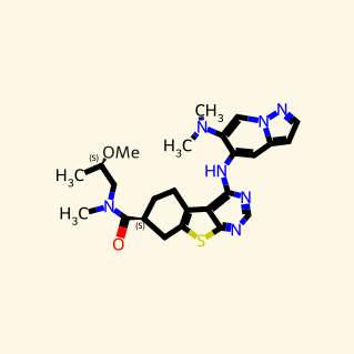 CO[C@@H](C)CN(C)C(=O)[C@H]1CCc2c(sc3ncnc(Nc4cc5ccnn5cc4N(C)C)c23)C1